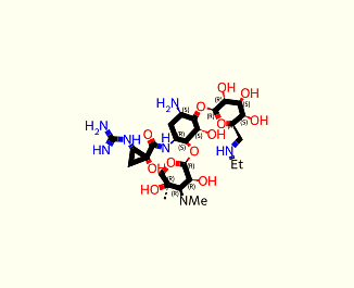 CCNC[C@H]1O[C@H](OC2[C@@H](N)C[C@@H](NC(=O)C3(O)CC3NC(=N)N)[C@H](O[C@H]3OC[C@](C)(O)[C@H](NC)[C@H]3O)[C@H]2O)[C@H](O)[C@@H](O)[C@@H]1O